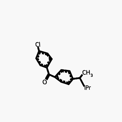 CC(C)C(C)c1ccc(C(=O)c2ccc(Cl)cc2)cc1